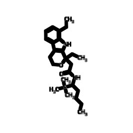 CCCCC(NC(=O)CC1(CC)OCCc2c1[nH]c1c(CC)cccc21)[Si](C)(C)C